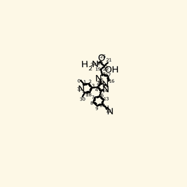 Cc1cc(-c2c(-c3cccc(C#N)c3)nn3ccc(CC(C)(O)C(N)=O)nc23)cc(C)n1